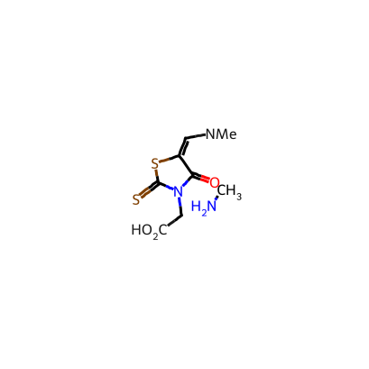 CN.CNC=C1SC(=S)N(CC(=O)O)C1=O